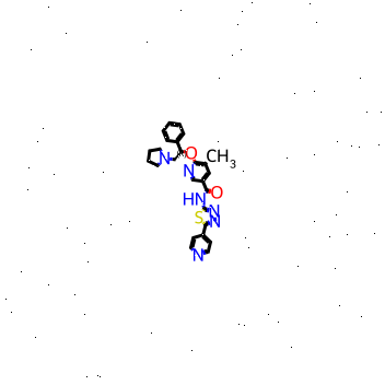 Cc1cc(C(=O)Nc2nnc(-c3ccncc3)s2)cnc1O[C@@H](CN1CCCC1)c1ccccc1